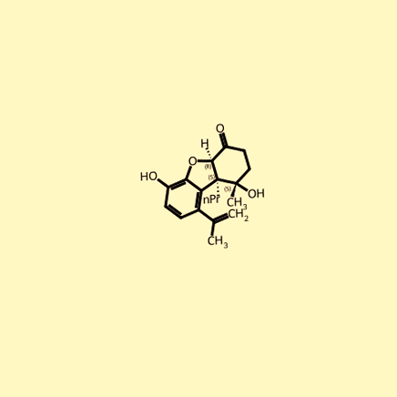 C=C(C)c1ccc(O)c2c1[C@@]1(CCC)[C@@H](O2)C(=O)CC[C@]1(C)O